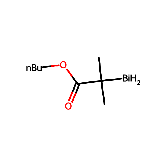 CCCCOC(=O)[C](C)(C)[BiH2]